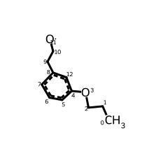 CCCOc1cccc(CC[O])c1